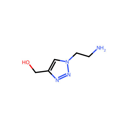 NCCn1cc(CO)nn1